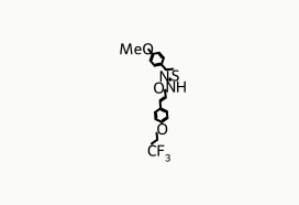 COc1ccc(C2CSC(NC(=O)/C=C/c3ccc(OCCCC(F)(F)F)cc3)=N2)cc1